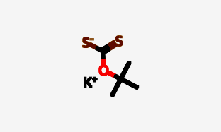 CC(C)(C)OC(=S)[S-].[K+]